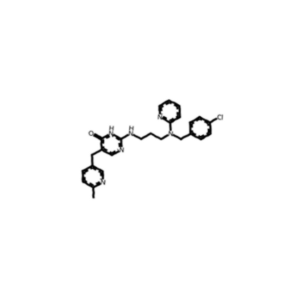 Cc1ccc(Cc2cnc(NCCCN(Cc3ccc(Cl)cc3)c3ccccn3)[nH]c2=O)cn1